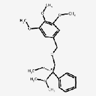 CC[C@](COCc1cc(OC)c(OC)c(OC)c1)(c1ccccc1)N(C)C